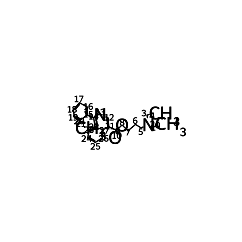 CCN(CC)CCCOC(=O)c1cnc(-c2ccccc2C)c2ccccc12